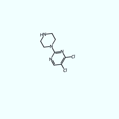 Clc1cnc(N2CCNCC2)nc1Cl